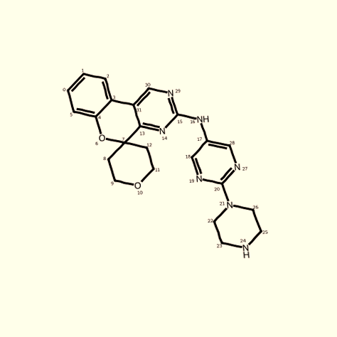 c1ccc2c(c1)OC1(CCOCC1)c1nc(Nc3cnc(N4CCNCC4)nc3)ncc1-2